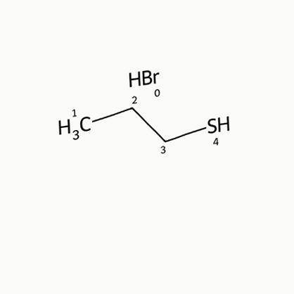 Br.CCCS